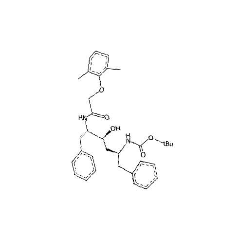 Cc1cccc(C)c1OCC(=O)N[C@@H](Cc1ccccc1)[C@@H](O)C[C@H](Cc1ccccc1)NC(=O)OC(C)(C)C